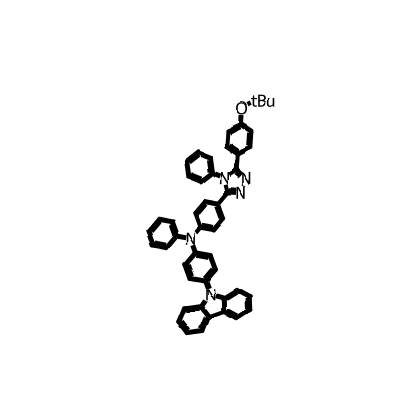 CC(C)(C)Oc1ccc(-c2nnc(-c3ccc(N(c4ccccc4)c4ccc(-n5c6ccccc6c6ccccc65)cc4)cc3)n2-c2ccccc2)cc1